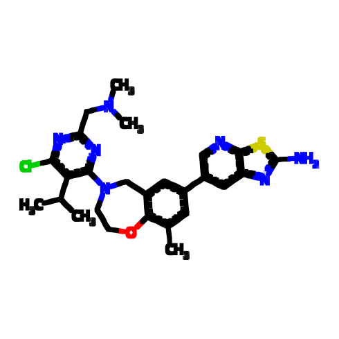 Cc1cc(-c2cnc3sc(N)nc3c2)cc2c1OCCN(c1nc(CN(C)C)nc(Cl)c1C(C)C)C2